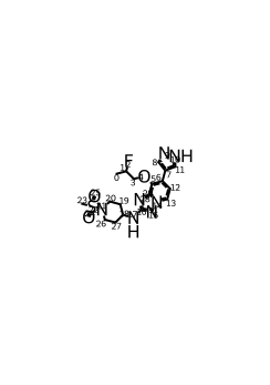 CC(F)COc1c(-c2cn[nH]c2)ccn2nc(NC3CCN(S(C)(=O)=O)CC3)nc12